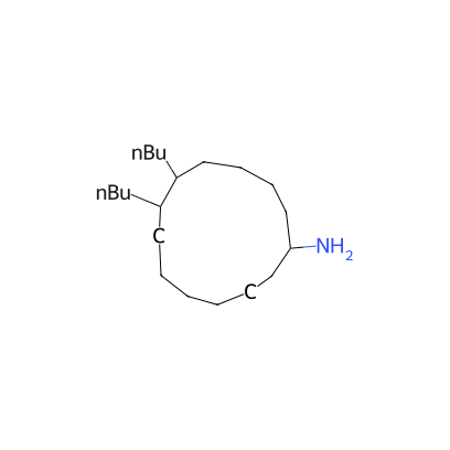 CCCCC1CCCCCCC(N)CCCCC1CCCC